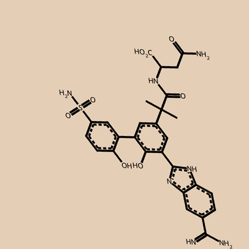 CC(C)(C(=O)NC(CC(N)=O)C(=O)O)c1cc(-c2nc3cc(C(=N)N)ccc3[nH]2)c(O)c(-c2cc(S(N)(=O)=O)ccc2O)c1